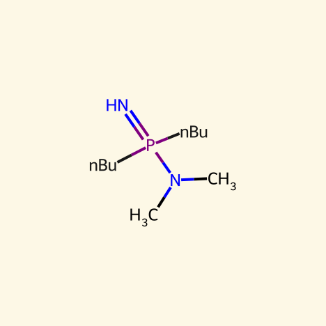 CCCCP(=N)(CCCC)N(C)C